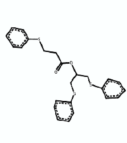 O=C(CCSc1ccccc1)OC(CSc1ccccc1)CSc1ccccc1